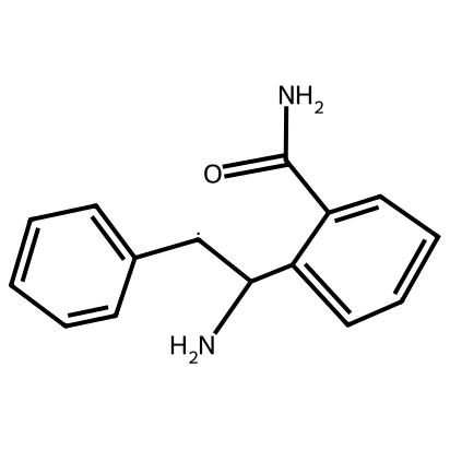 NC(=O)c1ccccc1C(N)[CH]c1ccccc1